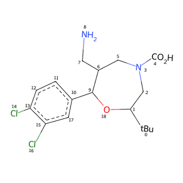 CC(C)(C)C1CN(C(=O)O)CC(CN)C(c2ccc(Cl)c(Cl)c2)O1